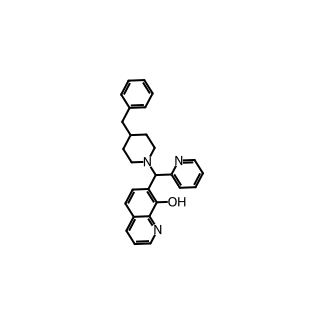 Oc1c(C(c2ccccn2)N2CCC(Cc3ccccc3)CC2)ccc2cccnc12